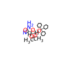 CC1(C)O[C@@H]2[C@@H](COC(c3ccccc3)(c3ccccc3)c3ccccc3)OC(c3cnoc3N)[C@@H]2O1